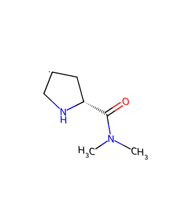 CN(C)C(=O)[C@H]1C[CH]CN1